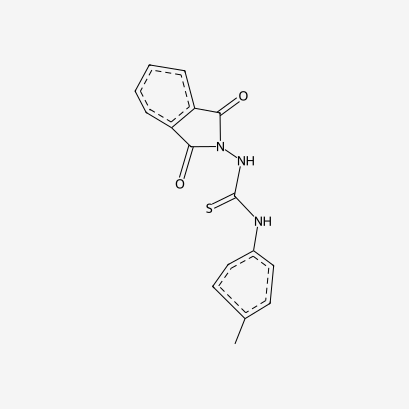 Cc1ccc(NC(=S)NN2C(=O)c3ccccc3C2=O)cc1